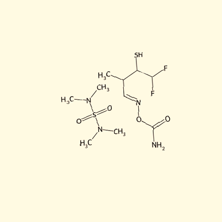 CC(C=NOC(N)=O)C(S)C(F)F.CN(C)S(=O)(=O)N(C)C